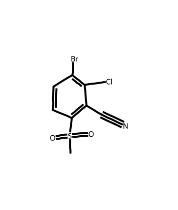 CS(=O)(=O)c1ccc(Br)c(Cl)c1C#N